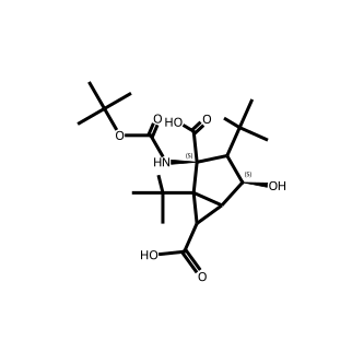 CC(C)(C)OC(=O)N[C@@]1(C(=O)O)C(C(C)(C)C)[C@@H](O)C2C(C(=O)O)C21C(C)(C)C